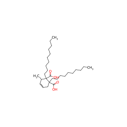 CCCCCCCCCCC1(C(=O)O)CC=CC(C)C1(CCCCCCCCCC)C(=O)O